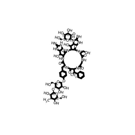 CC(c1ccccc1)C1NC(=O)CNC(=O)C(CO)NC(=O)C(C(O)C2CNC(=N)N2[C@H]2O[C@H](CO)[C@@H](O)[C@H](O)[C@@H]2O)NC(=O)C(C(O)C2CNC(=N)N2)NC(=O)C(Cc2ccc(O[C@H]3O[C@H](CO)[C@@H](O[C@H]4O[C@H](CO)[C@@H](O)[C@H](C)[C@@H]4O)[C@H](O)[C@@H]3O)cc2)NC1=O